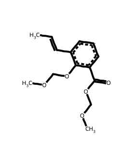 CC=Cc1c[c]cc(C(=O)OCOC)c1OCOC